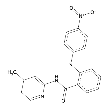 CC1C=C(NC(=O)c2ccccc2Sc2ccc([N+](=O)[O-])cc2)N=CC1